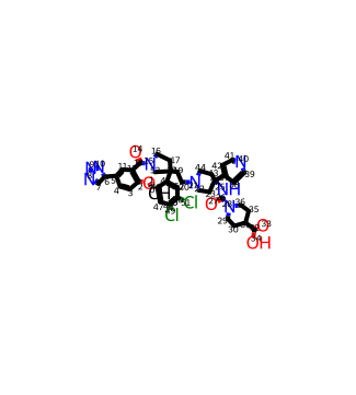 COc1ccc(C2C=NN=N2)cc1C(=O)N1CCC(CCN2CCC(NC(=O)N3CCC(C(=O)O)CC3)(c3ccncc3)CC2)(c2ccc(Cl)c(Cl)c2)C1